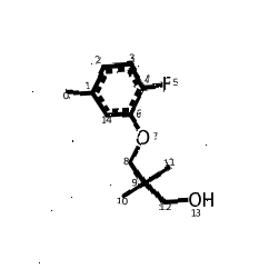 Cc1ccc(F)c(OCC(C)(C)CO)c1